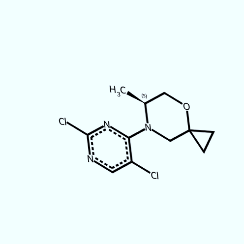 C[C@H]1COC2(CC2)CN1c1nc(Cl)ncc1Cl